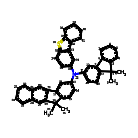 CC1(C)c2ccccc2-c2cc(N(c3ccc4c(c3)-c3cc5ccccc5cc3C4(C)C)c3ccc4sc5ccccc5c4c3)ccc21